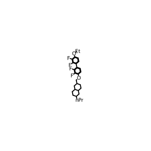 CCCC1CCC2CC(COc3ccc(-c4ccc(OCC)c(F)c4F)c(F)c3F)CCC2C1